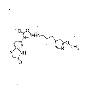 COC1=NC=CC(CCCNC[C@@H]2CN(c3ccc4c(c3)NC(=O)CS4)C(=O)O2)C1